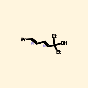 CCC(O)(/C=C/C=C/C(C)C)CC